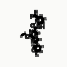 CCOc1nc(C(=O)Nc2cccc(C(F)F)n2)cn2cc([C@@]34CC[C@@](C)(C3)OC4)nc12